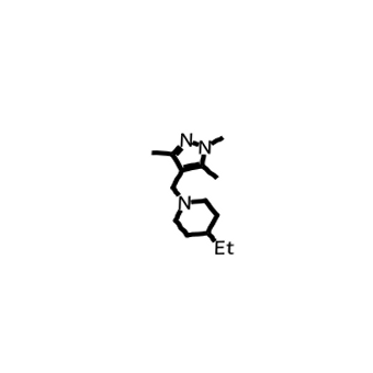 CCC1CCN(Cc2c(C)nn(C)c2C)CC1